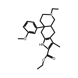 CCOC(=O)c1[nH]c2c(c1C)CC1CN(CC)CCC1(c1cccc(OC)c1)C2